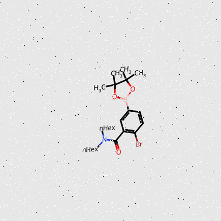 CCCCCCN(CCCCCC)C(=O)c1cc(B2OC(C)(C)C(C)(C)O2)ccc1Br